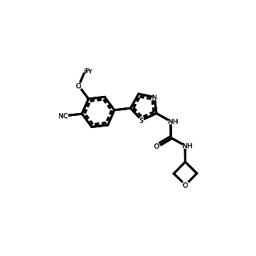 CC(C)Oc1cc(-c2cnc(NC(=O)NC3COC3)s2)ccc1C#N